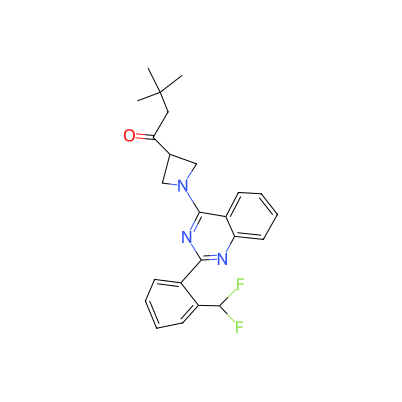 CC(C)(C)CC(=O)C1CN(c2nc(-c3ccccc3C(F)F)nc3ccccc23)C1